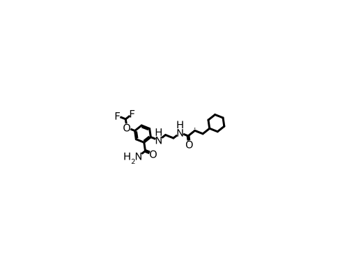 NC(=O)c1cc(OC(F)F)ccc1NCCNC(=O)[CH]CC1CCCCC1